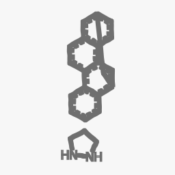 C1CNNC1.c1ccc2c(c1)c1cc3c4ccc(cc4ccc23)C1